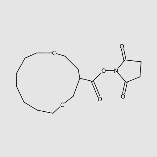 O=C(ON1C(=O)CCC1=O)C1CCCCCCCCCCCC1